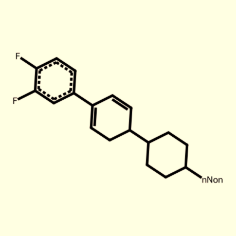 CCCCCCCCCC1CCC(C2C=CC(c3ccc(F)c(F)c3)=CC2)CC1